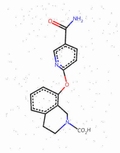 NC(=O)c1ccc(Oc2cccc3c2CN(C(=O)O)CC3)nc1